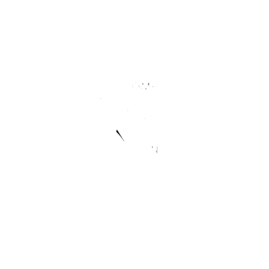 COS(=O)(=O)C[C@@H]1CCCN1C